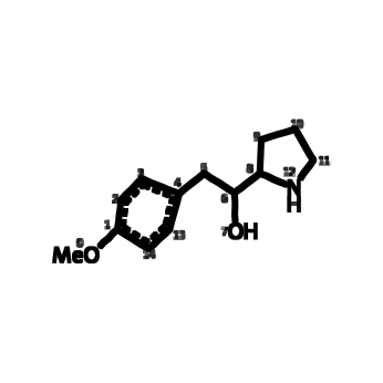 COc1ccc(CC(O)C2CCCN2)cc1